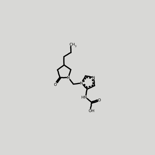 CCCC1CC(=O)N(Cn2cncc2NC(=O)O)C1